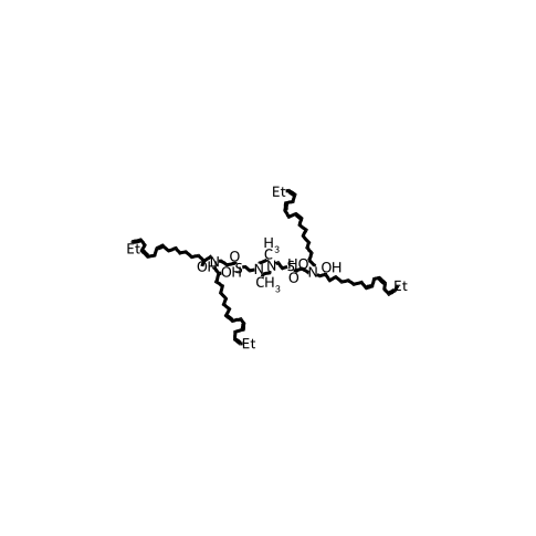 CC/C=C\C/C=C\C/C=C\CCCCCCC(O)CN(CCC(=O)SCCN1CC(C)N(CCSC(=O)CCN(CC(O)CCCCCC/C=C\C/C=C\C/C=C\CC)CC(O)CCCCCC/C=C\C/C=C\C/C=C\CC)CC1C)CC(O)CCCCCC/C=C\C/C=C\C/C=C\CC